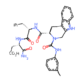 Cc1cccc(NC(=O)N2Cc3[nH]c4ccccc4c3C[C@H]2C(=O)N[C@@H](CC(C)C)C(=O)N[C@@H](CC(=O)O)C(N)=O)c1